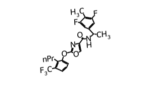 CCCc1c(Oc2nc(C(=O)N[C@H](C)c3cc(F)c(C)c(F)c3)co2)cccc1C(F)(F)F